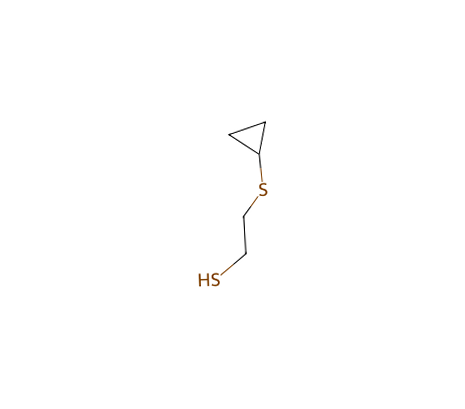 SCCSC1CC1